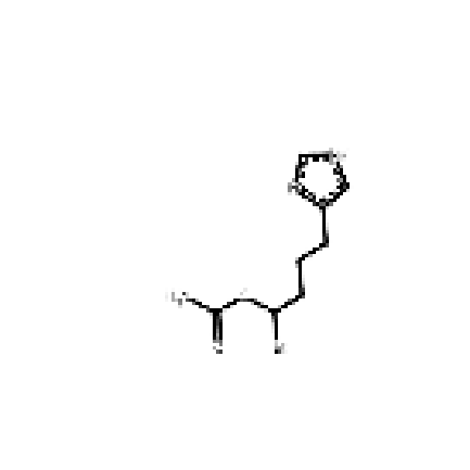 CCC(CCCc1c[nH]cn1)OC(N)=O